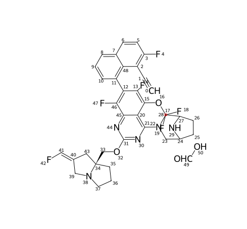 C#Cc1c(F)ccc2cccc(-c3c(F)c(OC(F)F)c4c(N5CC6CCC(C5)N6)nc(OC[C@@]56CCCN5C/C(=C\F)C6)nc4c3F)c12.O=CO